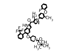 Cc1cc(-n2ncc(C(=O)c3cc4cc(OC5CCN(C(=O)OC(C)(C)C)CC5)c(-c5ccccc5C(F)(F)F)cc4[nH]3)c2N)ccc1Oc1ccccc1F